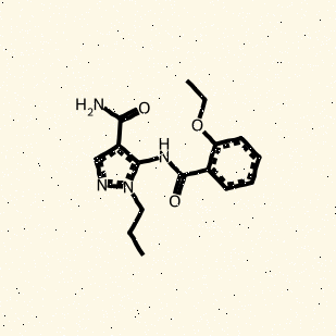 CCCn1ncc(C(N)=O)c1NC(=O)c1ccccc1OCC